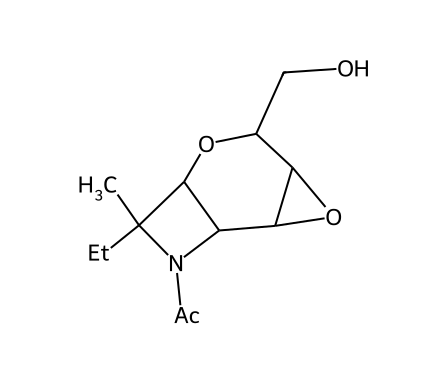 CCC1(C)C2OC(CO)C3OC3C2N1C(C)=O